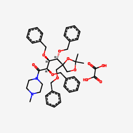 CN1CCN(C(=O)[C@H](OCc2ccccc2)[C@@H](OCc2ccccc2)[C@H](OCc2ccccc2)C2(COCc3ccccc3)COC(C)(C)O2)CC1.O=C(O)C(=O)O